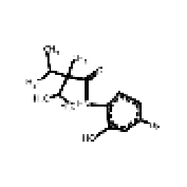 CC(C)C(C)(C(=O)Nc1ccc([18F])cc1O)C(C)C